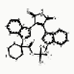 Cn1cc(C2=C(c3cn(C4(C(=O)OC(C)(C)C)CCNCC4)c4ccccc34)C(=O)NC2=O)c2ccccc21